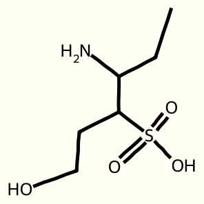 CCC(N)C(CCO)S(=O)(=O)O